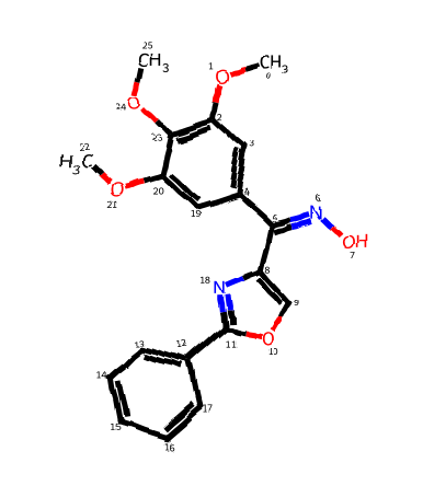 COc1cc(/C(=N/O)c2coc(-c3ccccc3)n2)cc(OC)c1OC